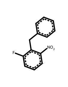 O=[N+]([O-])c1[c]ccc(F)c1Cc1ccccc1